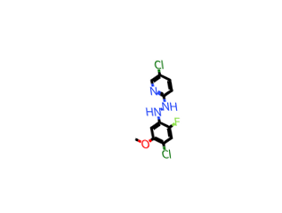 COc1cc(NNc2ccc(Cl)cn2)c(F)cc1Cl